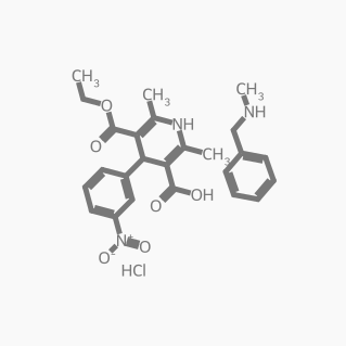 CCOC(=O)C1=C(C)NC(C)=C(C(=O)O)C1c1cccc([N+](=O)[O-])c1.CNCc1ccccc1.Cl